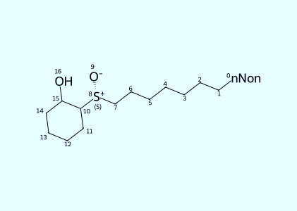 CCCCCCCCCCCCCCCC[S@@+]([O-])C1CCCCC1O